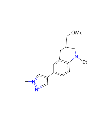 CCN1CC(COC)Cc2cc(-c3cnn(C)c3)ccc21